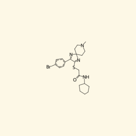 CN1CCC2(CC1)N=C(SCC(=O)NC1CCCCC1)C(c1ccc(Br)cc1)=N2